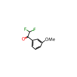 COc1cccc(C(=O)C(F)F)c1